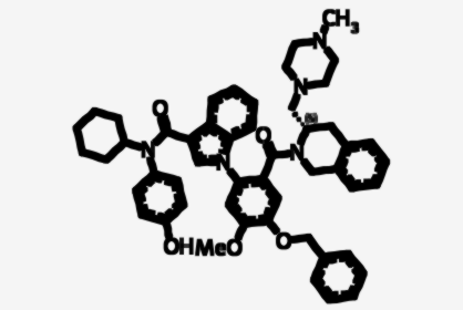 COc1cc(-n2cc(C(=O)N(c3ccc(O)cc3)C3CCCCC3)c3ccccc32)c(C(=O)N2Cc3ccccc3C[C@H]2CN2CCN(C)CC2)cc1OCc1ccccc1